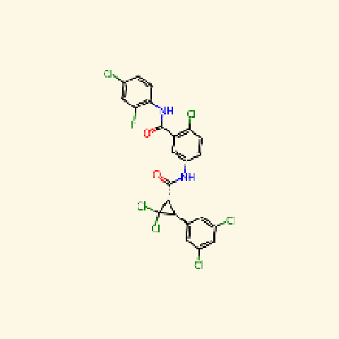 O=C(Nc1ccc(Cl)cc1F)c1cc(NC(=O)[C@@H]2[C@@H](c3cc(Cl)cc(Cl)c3)C2(Cl)Cl)ccc1Cl